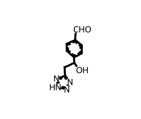 O=Cc1ccc(C(O)Cc2nn[nH]n2)cc1